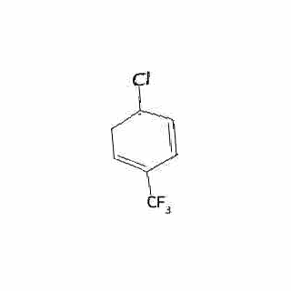 FC(F)(F)C1=CC[C](Cl)C=C1